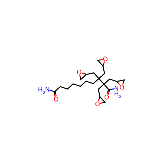 NC(=O)CCCCCCC(CC1CO1)(CC1CO1)C(CC1CO1)(CC1CO1)C(N)=O